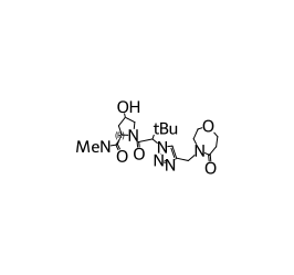 CNC(=O)[C@H]1CC(O)CN1C(=O)C(n1cc(CN2CCOCCC2=O)nn1)C(C)(C)C